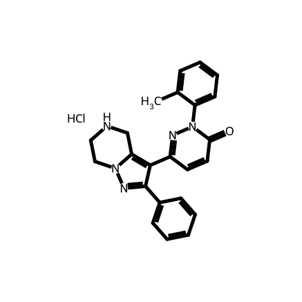 Cc1ccccc1-n1nc(-c2c(-c3ccccc3)nn3c2CNCC3)ccc1=O.Cl